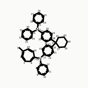 CC1=C=CC=C(N(c2ccccc2)c2ccc(C3(c4ccc(N(c5ccccc5)c5ccccc5)cc4)CCCCC3)cc2)C=C1